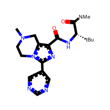 CNC(=O)[C@@H](NC(=O)c1nc(-c2cncnc2)n2c1CN(C)CC2)C(C)(C)C